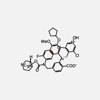 COc1ccc([C@H](Cc2c(Cl)c[n+](O)cc2Cl)c2cc(CN(C(=O)O[C@H]3CN4CCC3CC4)c3ccccc3F)ccc2C(=O)[O-])cc1OC1CCCC1